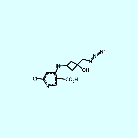 [N-]=[N+]=NCC1(O)CC(Nc2cc(Cl)ncc2C(=O)O)C1